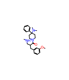 CNCC(Cc1cccc(OC)c1)C(=O)N1CCC(c2ccccc2)(N(C)C)CC1